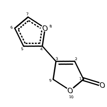 O=C1C=C(c2ccco2)CO1